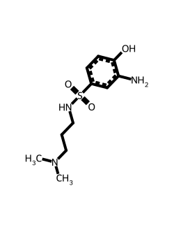 CN(C)CCCNS(=O)(=O)c1ccc(O)c(N)c1